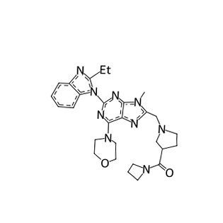 CCc1nc2ccccc2n1-c1nc(N2CCOCC2)c2nc(CN3CCC(C(=O)N4CCC4)C3)n(C)c2n1